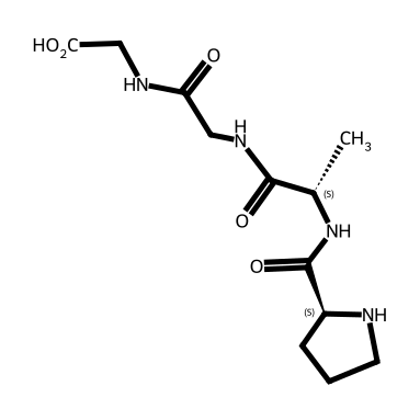 C[C@H](NC(=O)[C@@H]1CCCN1)C(=O)NCC(=O)NCC(=O)O